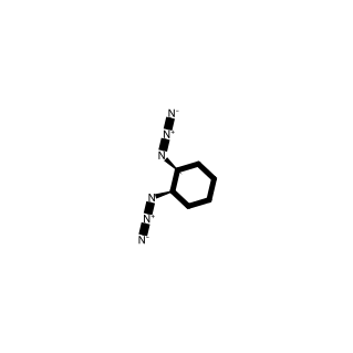 [N-]=[N+]=N[C@H]1CCCC[C@H]1N=[N+]=[N-]